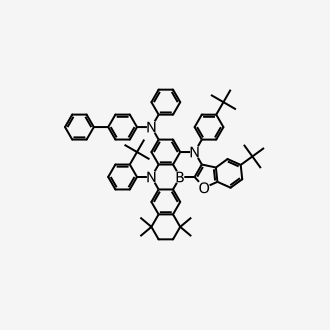 CC(C)(C)c1ccc(N2c3cc(N(c4ccccc4)c4ccc(-c5ccccc5)cc4)cc4c3B(c3cc5c(cc3N4c3ccccc3C(C)(C)C)C(C)(C)CCC5(C)C)c3oc4ccc(C(C)(C)C)cc4c32)cc1